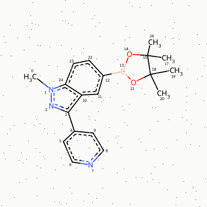 Cn1nc(-c2ccncc2)c2cc(B3OC(C)(C)C(C)(C)O3)ccc21